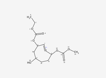 CCOC(=O)OC1/C=C/C(OC(=O)OC)CCC(O)C1